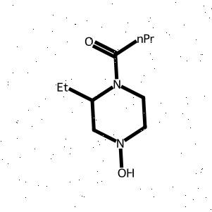 CCCC(=O)N1CCN(O)CC1CC